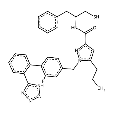 CCCc1cc(C(=O)NC(CS)Cc2ccccc2)nn1Cc1ccc(-c2ccccc2-c2nnn[nH]2)c(F)c1